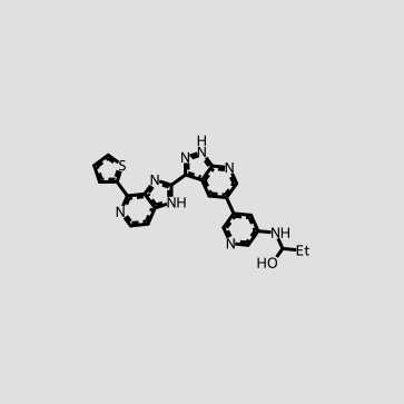 CCC(O)Nc1cncc(-c2cnc3[nH]nc(-c4nc5c(-c6cccs6)nccc5[nH]4)c3c2)c1